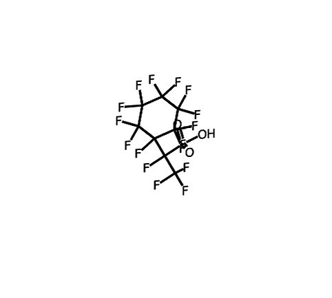 O=S(=O)(O)C(F)(C(F)(F)F)C1(F)C(F)(F)C(F)(F)C(F)(F)C(F)(F)C1(F)F